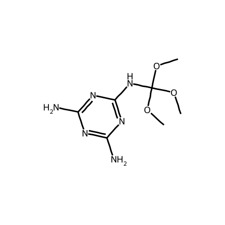 COC(Nc1nc(N)nc(N)n1)(OC)OC